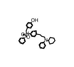 O=S(=O)(c1ccccc1)N(Cc1ccc(O)cc1)c1ccc(CCCN(c2ccccc2)C2CCCCC2)cc1